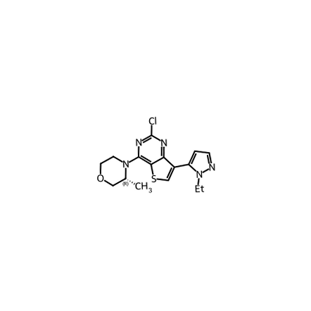 CCn1nccc1-c1csc2c(N3CCOC[C@H]3C)nc(Cl)nc12